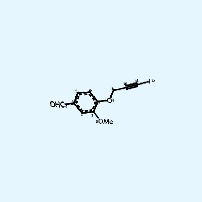 COc1cc(C=O)ccc1OCC#CI